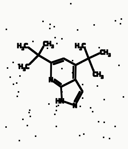 CC(C)(C)c1cc(C(C)(C)C)c2cn[nH]c2n1